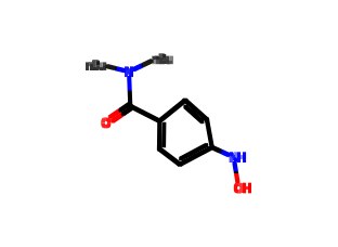 CCCCN(CCCC)C(=O)c1ccc(NO)cc1